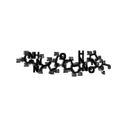 CC(C)[C@H](C)C(=O)N1CCC[C@H]1c1nc2ccc3cc4c(cc3c2[nH]1)OCc1cc(-c2cnc([C@@H]3C[C@H](C)CN3)n2C)ccc1-4